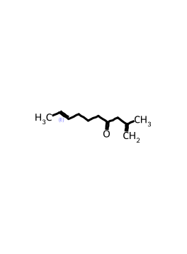 C=C(C)CC(=O)CCC/C=C/C